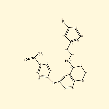 NC(=O)c1ccc(Oc2ccc3c(c2)C(NCCc2cccc(F)c2)CCC3)nc1